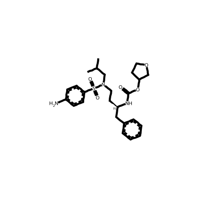 CC(C)CN(CC[C@H](Cc1ccccc1)NC(=O)OC1CCOC1)S(=O)(=O)c1ccc(N)cc1